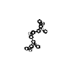 c1ccc(-n2c3ccc(-c4ccc5oc6ccc(-c7ccc8c(c7)c7cc9c(cc7n8-c7ccccc7)oc7ccccc79)cc6c5c4)cc3c3cc4c(cc32)oc2ccccc24)cc1